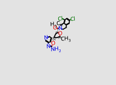 C[C@@H]1C[C@H](c2cncc3nc(N)oc23)C[C@H](C(=O)N2CCc3cc(Cl)cc(Cl)c3[C@@H]2C)O1